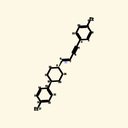 CCc1ccc(C#C/C=C/[C@H]2CC[C@H](c3ccc(CC)cc3)CC2)cc1